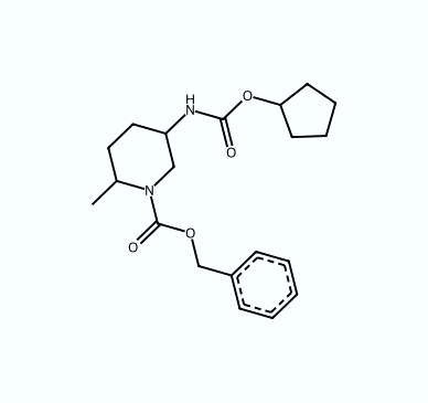 CC1CCC(NC(=O)OC2CCCC2)CN1C(=O)OCc1ccccc1